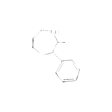 CC1NCCCOC1c1ccccc1